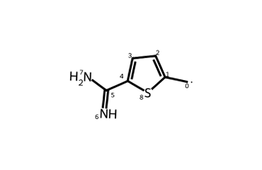 [CH2]c1ccc(C(=N)N)s1